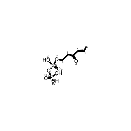 C/C=C/C(=O)CCOP(=O)(O)OP(=O)(O)O